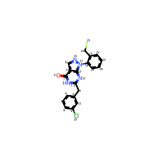 O=c1[nH]c(Cc2cccc(Cl)c2)nc2c1cnn2-c1ccccc1CF